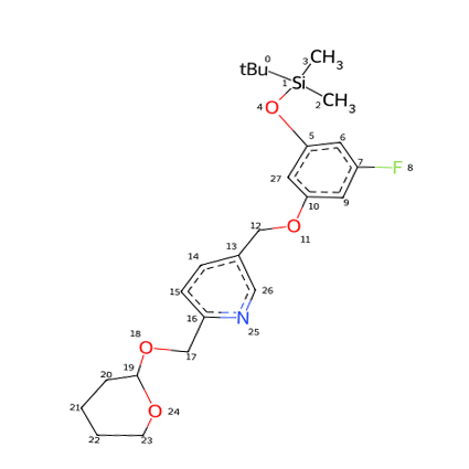 CC(C)(C)[Si](C)(C)Oc1cc(F)cc(OCc2ccc(COC3CCCCO3)nc2)c1